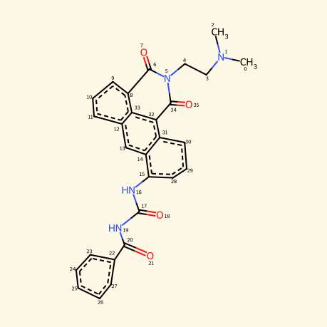 CN(C)CCN1C(=O)c2cccc3cc4c(NC(=O)NC(=O)c5ccccc5)cccc4c(c23)C1=O